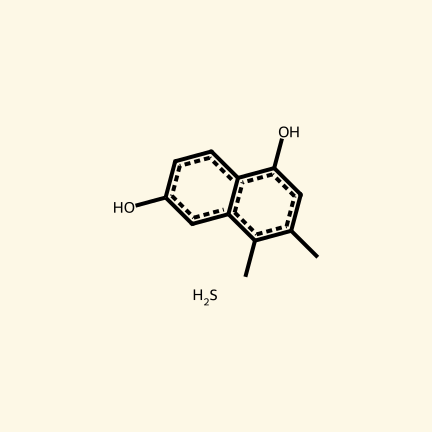 Cc1cc(O)c2ccc(O)cc2c1C.S